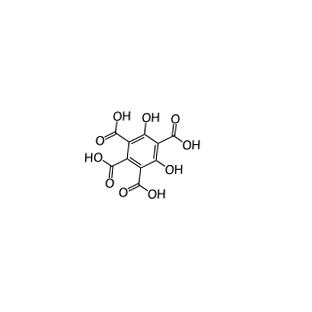 O=C(O)c1c(O)c(C(=O)O)c(C(=O)O)c(C(=O)O)c1O